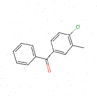 Cc1cc(C(=O)c2ccccc2)ccc1Cl